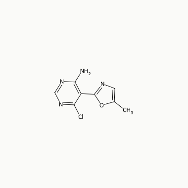 Cc1cnc(-c2c(N)ncnc2Cl)o1